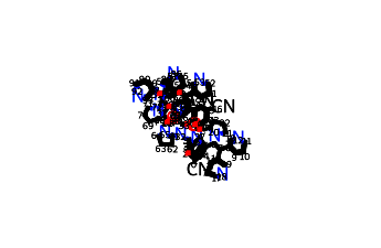 N#Cc1cccc(C(C(c2cccnc2)c2cccnc2)N2CCC[C@@H]2C(=O)N2CCCC2N(C(=O)[C@@H]2CCCN2C(c2cccc(C#N)c2)C(c2cccnc2)c2cccnc2)C2CCCN2C(=O)[C@H]2CCCN2C(c2cccc(C#N)c2)C(c2cccnc2)c2cccnc2)c1